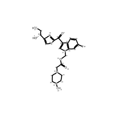 CC[C@@H](O)c1csc(C(=O)c2cn(COC(=O)CN3CCN(C)CC3)c3cc(F)ccc23)n1